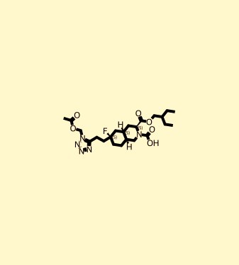 CCC(CC)COC(=O)[C@@H]1C[C@H]2C[C@@](F)(CCc3nnnn3COC(C)=O)CC[C@H]2CN1C(=O)O